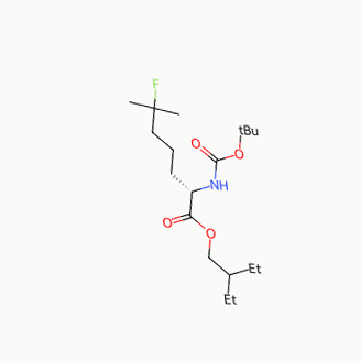 CCC(CC)COC(=O)[C@H](CCCC(C)(C)F)NC(=O)OC(C)(C)C